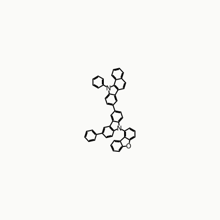 c1ccc(-c2ccc3c(c2)c2cc(-c4ccc5c(c4)c4ccc6ccccc6c4n5-c4ccccc4)ccc2n3-c2cccc3oc4ccccc4c23)cc1